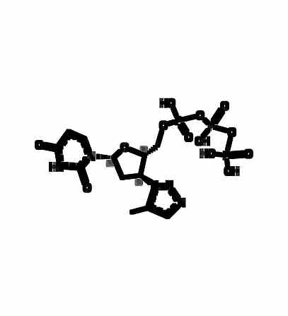 Cc1cnnn1[C@H]1C[C@H](n2ccc(=O)[nH]c2=O)O[C@@H]1COP(=O)(O)OP(=O)(O)OP(=O)(O)O